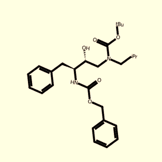 CC(C)CN(C[C@@H](O)[C@H](Cc1ccccc1)NC(=O)OCc1ccccc1)C(=O)OC(C)(C)C